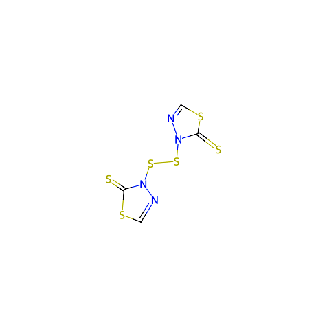 S=c1scnn1SSn1ncsc1=S